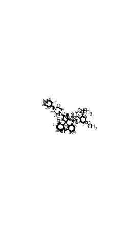 C=CC(c1ccc(OC)cc1OC)S(=O)(=O)N1C(=O)C(CC(=O)N2CCN(c3ccncc3)CC2)(c2ccccc2F)c2c(Cl)cccc21